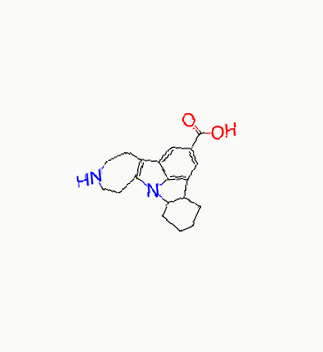 O=C(O)c1cc2c3c(c1)c1c(n3C3CCCCC23)CCNCC1